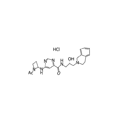 CC(=O)N1CCC1Nc1cc(C(=O)NC[C@H](O)CN2CCc3ccccc3C2)ncn1.Cl